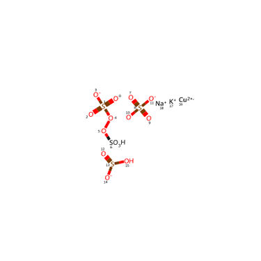 O=S(=O)([O-])OOS(=O)(=O)O.O=S(=O)([O-])[O-].O=S([O-])O.[Cu+2].[K+].[Na+]